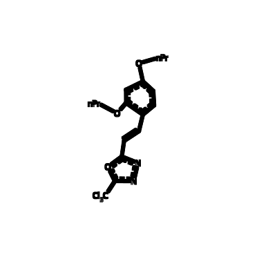 CCCOc1ccc(C=Cc2nnc(C(Cl)(Cl)Cl)o2)c(OCCC)c1